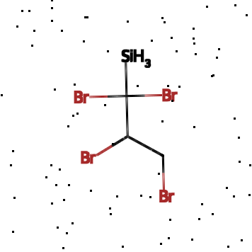 [SiH3]C(Br)(Br)C(Br)CBr